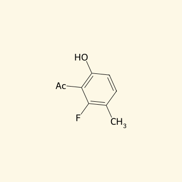 CC(=O)c1c(O)ccc(C)c1F